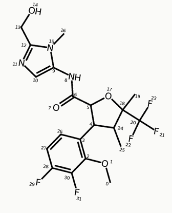 COc1c(C2C(C(=O)Nc3cnc(CO)n3C)OC(C)(C(F)(F)F)C2C)ccc(F)c1F